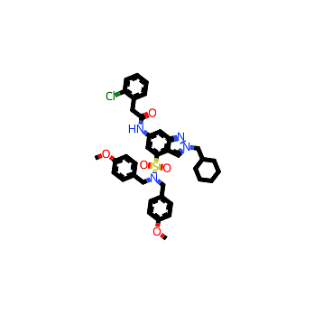 COc1ccc(CN(Cc2ccc(OC)cc2)S(=O)(=O)c2cc(NC(=O)Cc3ccccc3Cl)cc3nn(CC4CCCCC4)cc23)cc1